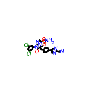 CC1(Cc2ccc(-c3cnc(C#N)nc3)cc2)C(=O)N(c2cc(Cl)cc(Cl)c2)c2ncc(S(N)(=O)=O)n21